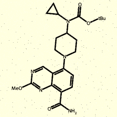 COc1ncc2c(N3CCC(N(C(=O)OC(C)(C)C)C4CC4)CC3)ccc(C(N)=O)c2n1